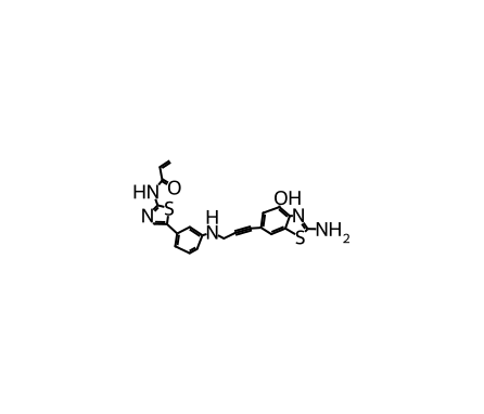 C=CC(=O)Nc1ncc(-c2cccc(NCC#Cc3cc(O)c4nc(N)sc4c3)c2)s1